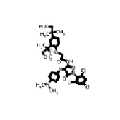 CCC(C)(C)c1ccc(OCC(=O)NC2=NN(c3c(Cl)cc(Cl)cc3Cl)C(=O)/C2=N\c2ccc(N(C)C)cc2)c(C(C)(C)CC)c1